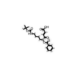 CC(C)(C)OC(=O)NCCCCN(OC(=O)c1ccccc1)C(=O)C=CC(=O)O